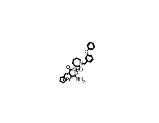 CCC[C@H](C(N)=O)[C@@H](CC1CCCC1)C(=O)N[C@H]1CCCCN(Cc2cccc(Oc3ccccc3)c2)C1=O